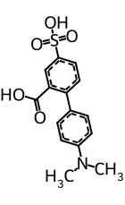 CN(C)c1ccc(-c2ccc(S(=O)(=O)O)cc2C(=O)O)cc1